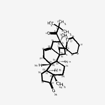 CC(C)(C)C(=O)[C@@]1(O)CC[C@@]2(CC3CCCCO3)C(=CC[C@@H]3[C@@H]2CC[C@]2(C)C(=O)CC[C@@H]32)C1